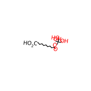 O=C(O)CCCCCCCCC(=O)OCC(CO)(CO)CO